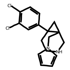 Clc1ccc(C23CCNCC2(Cn2cccc2)C3)cc1Cl